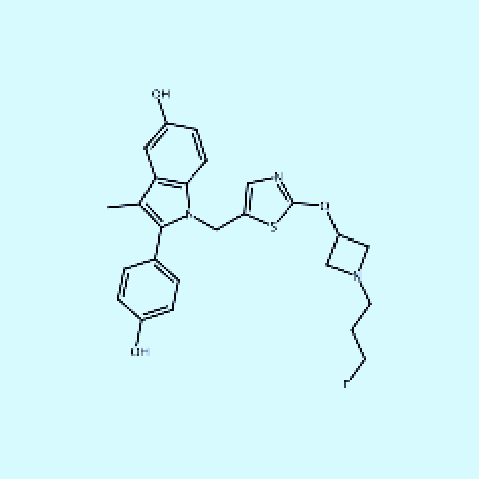 Cc1c(-c2ccc(O)cc2)n(Cc2cnc(OC3CN(CCCF)C3)s2)c2ccc(O)cc12